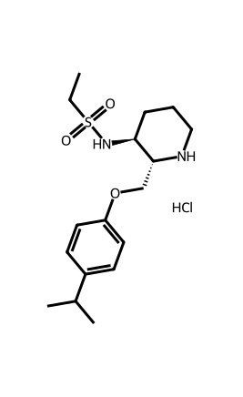 CCS(=O)(=O)N[C@H]1CCCN[C@@H]1COc1ccc(C(C)C)cc1.Cl